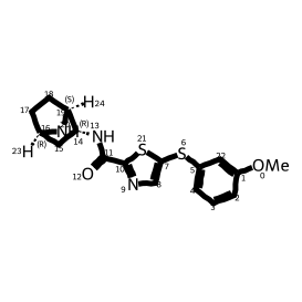 COc1cccc(Sc2cnc(C(=O)N[C@@H]3C[C@H]4CC[C@@H]3N4)s2)c1